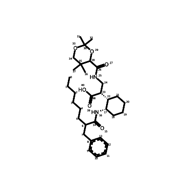 CCCCCCC(Cc1ccccc1)C(=O)N[C@H]1CCCC[C@H]1C(CNC(=O)C1OC(C)(C)OCC1(C)C)C(=O)O